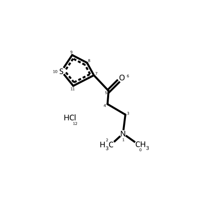 CN(C)CCC(=O)c1ccsc1.Cl